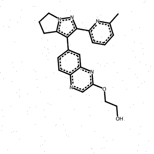 Cc1cccc(-c2nn3c(c2-c2ccc4ncc(OCCO)nc4c2)CCC3)n1